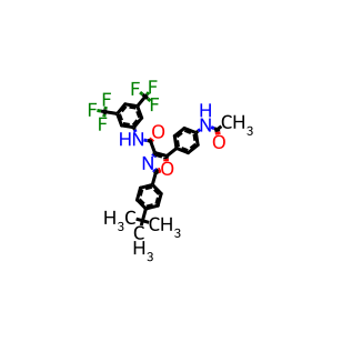 CC(=O)Nc1ccc(-c2oc(-c3ccc(C(C)(C)C)cc3)nc2C(=O)Nc2cc(C(F)(F)F)cc(C(F)(F)F)c2)cc1